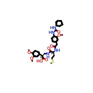 COc1cc(CC(=O)N[C@@H](CCSC)C(=O)NC[C@@H](C(=O)O)c2ccc(OC)c(OC)c2)ccc1NC(=O)Nc1ccccc1